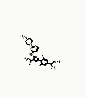 CC(CO)c1cc(F)c(-c2cc(C(N)=O)c(Nc3ccnc(N4CCN(C)CC4)n3)s2)c(F)c1